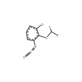 O=C=Nc1cccc(Cl)c1SC(F)F